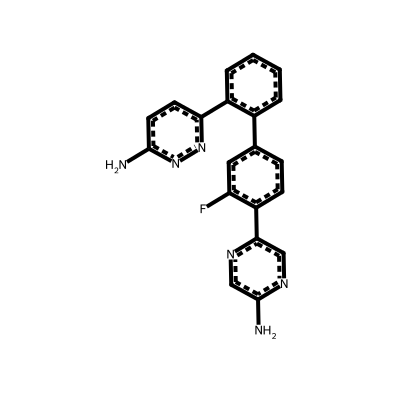 Nc1cnc(-c2ccc(-c3ccccc3-c3ccc(N)nn3)cc2F)cn1